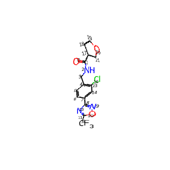 O=C(NCc1ccc(-c2noc(C(F)(F)F)n2)cc1Cl)C1CCOC1